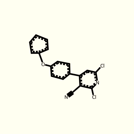 N#Cc1c(-c2ccc(Oc3ccccc3)cc2)cc(Cl)nc1Cl